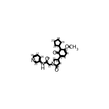 COC1=CC=C(C2CC(=O)N(CC(=O)Nc3cccnc3)C2)C(=O)C1C1CCCC1